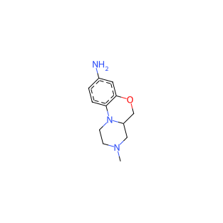 CN1CCN2c3ccc(N)cc3OCC2C1